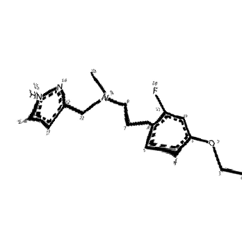 CCOc1ccc(CCN(C)Cc2cc[nH]n2)c(F)c1